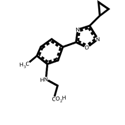 Cc1ccc(-c2nc(C3CC3)no2)cc1NCC(=O)O